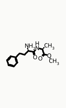 COC(=O)[C@H](C)NC(=O)[C@H](N)CCc1ccccc1